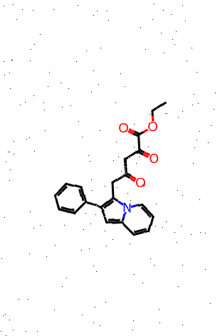 CCOC(=O)C(=O)CC(=O)Cc1c(-c2ccccc2)cc2ccccn12